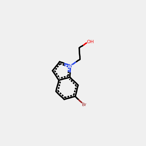 OCCn1ccc2ccc(Br)cc21